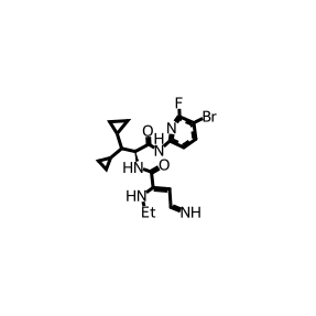 CCN/C(=C\C=N)C(=O)N[C@H](C(=O)Nc1ccc(Br)c(F)n1)C(C1CC1)C1CC1